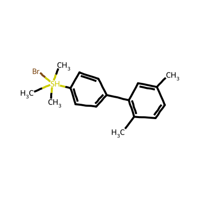 Cc1ccc(C)c(-c2ccc([SH](C)(C)(C)Br)cc2)c1